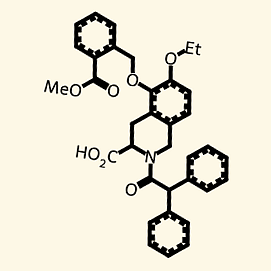 CCOc1ccc2c(c1OCc1ccccc1C(=O)OC)CC(C(=O)O)N(C(=O)C(c1ccccc1)c1ccccc1)C2